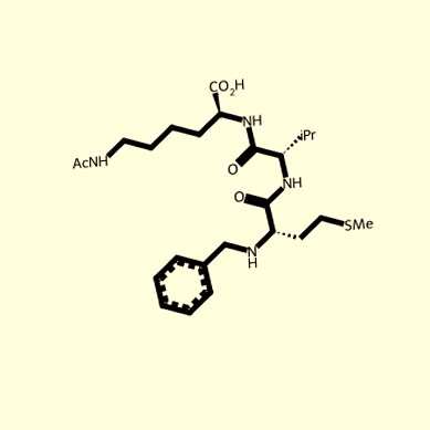 CSCC[C@H](NCc1ccccc1)C(=O)N[C@H](C(=O)N[C@@H](CCCCNC(C)=O)C(=O)O)C(C)C